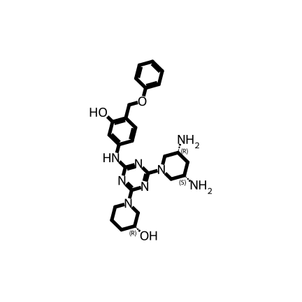 N[C@@H]1C[C@H](N)CN(c2nc(Nc3ccc(COc4ccccc4)c(O)c3)nc(N3CCC[C@@H](O)C3)n2)C1